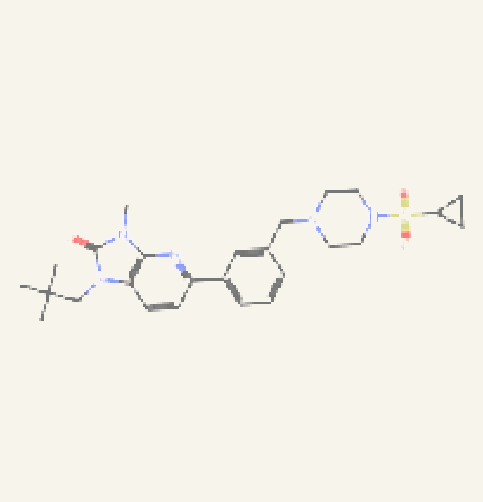 Cn1c(=O)n(CC(C)(C)C)c2ccc(-c3cccc(CN4CCN(S(=O)(=O)C5CC5)CC4)c3)nc21